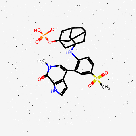 Cn1cc(-c2cc(S(C)(=O)=O)ccc2NC23CC4CC(C2)CC(OP(=O)(O)O)(C4)C3)c2cc[nH]c2c1=O